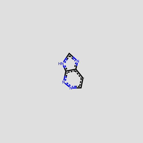 [c]1cnnc2[nH]cnc12